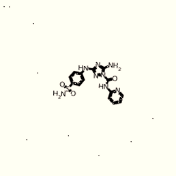 Nc1nc(Nc2ccc(S(N)(=O)=O)cc2)nn1C(=O)Nc1ccccn1